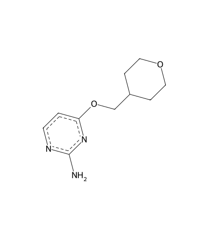 Nc1nccc(OCC2CCOCC2)n1